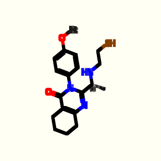 CCOc1ccc(-n2c([C@@H](C)NCCS)nc3c(c2=O)CCCC3)cc1